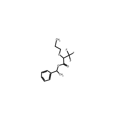 CCCOC(C(=O)OC(C)c1ccccc1)C(F)(F)F